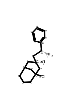 N[C@H](C[C@]1(Cl)CC2CCCC(Cl)(C2)C1)c1ccccc1